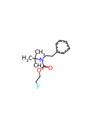 CC(C)(C)N(CCc1ccccc1)C(=O)OCCF